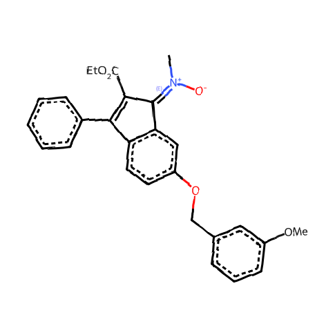 CCOC(=O)C1=C(c2ccccc2)c2ccc(OCc3cccc(OC)c3)cc2/C1=[N+](/C)[O-]